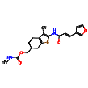 CCCNC(=O)OCC1CCc2c(sc(NC(=O)C=Cc3ccoc3)c2C#N)C1